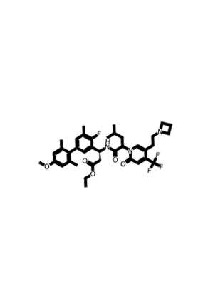 CCOC(=O)C[C@H](NC(=O)C(CC(C)C)n1cc(CCN2CCC2)c(C(F)(F)F)cc1=O)c1cc(-c2c(C)cc(OC)cc2C)cc(C)c1F